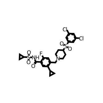 O=C(NS(=O)(=O)C1CC1)c1cc(C2CC2)c(CN2CCC(S(=O)(=O)c3cc(Cl)cc(Cl)c3)CC2)cc1F